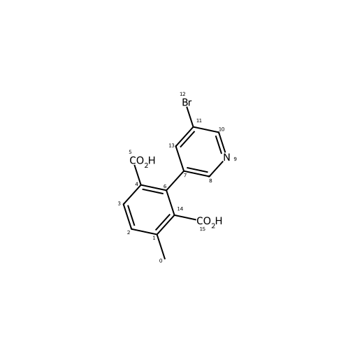 Cc1ccc(C(=O)O)c(-c2cncc(Br)c2)c1C(=O)O